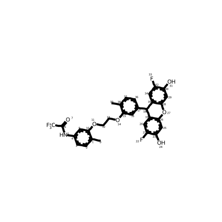 Cc1ccc(NC(=O)C(F)(F)F)cc1OCCOc1cc(C2c3cc(F)c(O)cc3Oc3cc(O)c(F)cc32)ccc1C